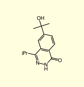 CC(C)c1n[nH]c(=O)c2ccc(C(C)(C)O)cc12